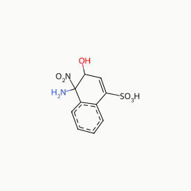 NC1([N+](=O)[O-])c2ccccc2C(S(=O)(=O)O)=CC1O